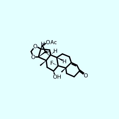 CC(=O)OCC(=O)[C@@]12OCO[C@@H]1C[C@H]1[C@@H]3CCC4=CC(=O)CC[C@]4(C)[C@@]3(F)[C@@H](O)C[C@@]12C